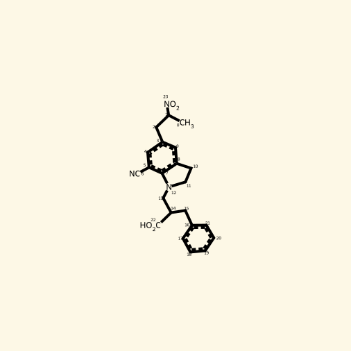 CC(Cc1cc(C#N)c2c(c1)CCN2CC(Cc1ccccc1)C(=O)O)[N+](=O)[O-]